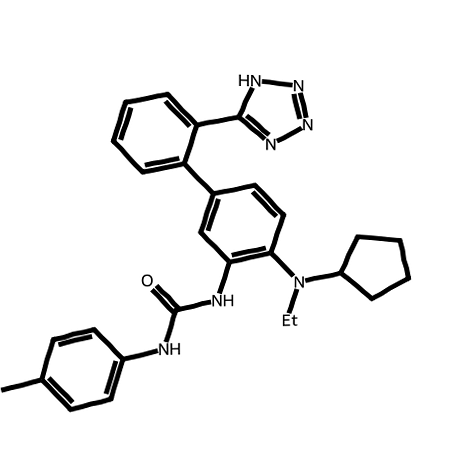 CCN(c1ccc(-c2ccccc2-c2nnn[nH]2)cc1NC(=O)Nc1ccc(C)cc1)C1CCCC1